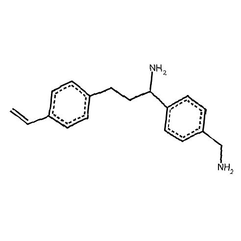 C=Cc1ccc(CCC(N)c2ccc(CN)cc2)cc1